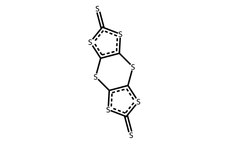 S=c1sc2c(s1)Sc1sc(=S)sc1S2